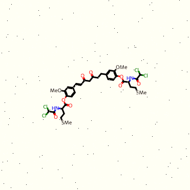 COc1cc(/C=C/C(=O)CC(=O)CCc2ccc(OC(=O)C(CCSC)NC(=O)C(Cl)Cl)c(OC)c2)ccc1OC(=O)C(CCSC)NC(=O)C(Cl)Cl